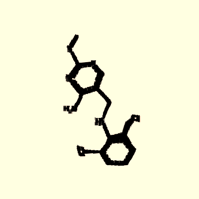 CSc1ncc(CNc2c(Cl)cccc2Cl)c(N)n1